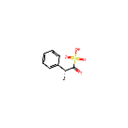 C[C@@H](C(=O)S(=O)(=O)O)c1ccccc1